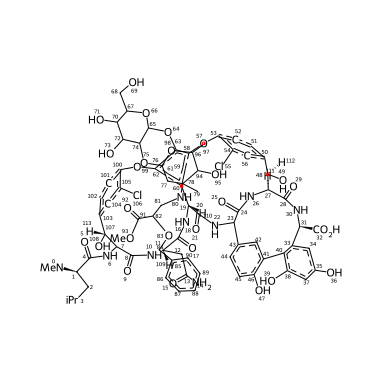 CN[C@H](CC(C)C)C(=O)NC1C(=O)N[C@@H](CC(N)=O)C(=O)N[C@H]2C(=O)NC3C(=O)N[C@H](C(=O)N[C@@H](C(=O)O)c4cc(O)cc(O)c4-c4cc3ccc4O)[C@H](O)c3ccc(c(Cl)c3)Oc3cc2cc(c3OC2OC(CO)C(O)C(O)C2OC2CC(C)(NCC(OCc3ccccc3)C(=O)OC)C(O)C(C)O2)Oc2ccc(cc2Cl)[C@H]1O